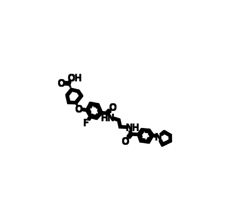 O=C(NCCNC(=O)c1ccc(O[C@H]2CC[C@@H](C(=O)O)CC2)c(F)c1)c1ccc(N2CCCC2)cc1